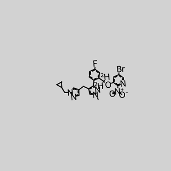 [2H]C([2H])(Oc1cc(Br)cnc1[N+](=O)[O-])c1cc(F)ccc1-c1nn(C)cc1Cc1cnn(CC2CC2)c1